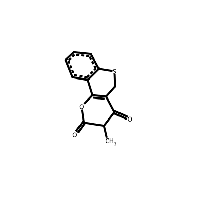 CC1C(=O)OC2=C(CSc3ccccc32)C1=O